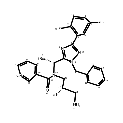 CC(C)(C)[C@H](c1nc(-c2cc(F)ccc2F)nn1Cc1ccccc1)N(C[C@@H](F)CN)C(=O)c1cccnc1